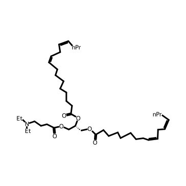 CCC/C=C\C/C=C\CCCCCCCC(=O)OC[C@H](COC(=O)CCCN(CC)CC)OC(=O)CCCCCCC/C=C\C/C=C\CCC